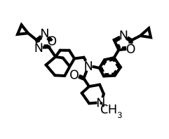 CN1CCC(C(=O)N(CC2CCC3(c4nc(C5CC5)no4)CCCC2C3)c2cccc(-c3cnc(C4CC4)o3)c2)CC1